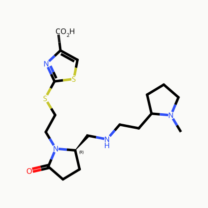 CN1CCCC1CCNC[C@H]1CCC(=O)N1CCSc1nc(C(=O)O)cs1